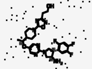 C[C@H](Oc1cnc(N2C[C@H](c3cc(F)c(F)cc3F)[C@@H](N)C2)nc1)C1CCN(c2nc(CCO)no2)CC1